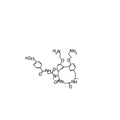 CCCCCCCCc1ccc(C(=O)NCC(=O)N(C)C2C(=O)N[C@@H](C)C(=O)NC(C)Cc3ccc(OCCN)c(c3)-c3cc2ccc3OCCN)cc1